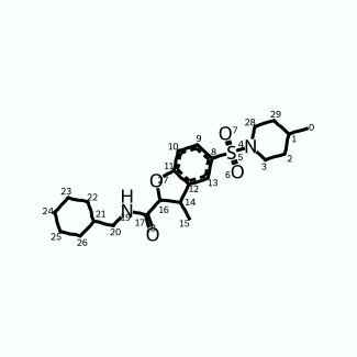 CC1CCN(S(=O)(=O)c2ccc3c(c2)C(C)C(C(=O)NCC2CCCCC2)O3)CC1